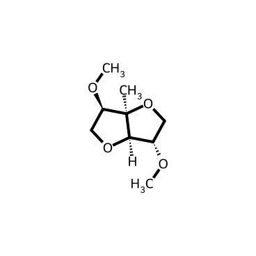 CO[C@H]1CO[C@@]2(C)[C@@H]1OC[C@H]2OC